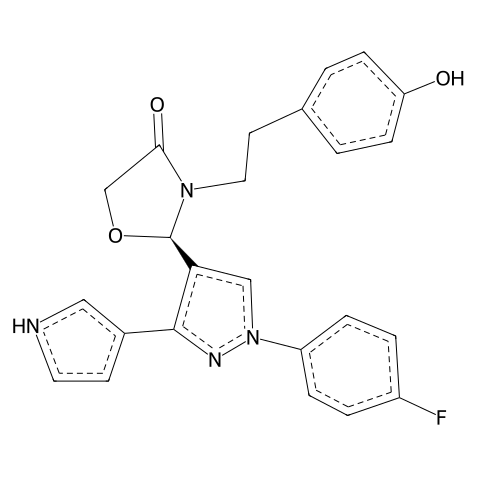 O=C1CO[C@H](c2cn(-c3ccc(F)cc3)nc2-c2cc[nH]c2)N1CCc1ccc(O)cc1